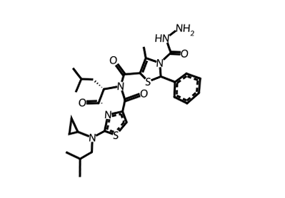 CC1=C(C(=O)N(C(=O)c2csc(N(CC(C)C)C3CC3)n2)[C@H]([C]=O)CC(C)C)SC(c2ccccc2)N1C(=O)NN